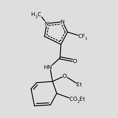 CCOC(=O)C1C=CC=CC1(NC(=O)c1cn(C)nc1C(F)(F)F)OCC